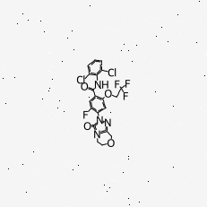 O=C(Nc1c(Cl)cccc1Cl)c1cc(F)c(-n2nc3n(c2=O)CCOC3)cc1OCC(F)(F)F